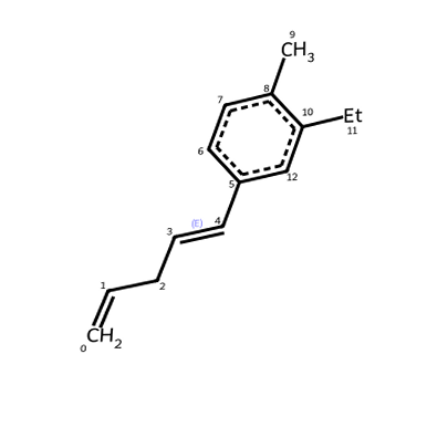 C=CC/C=C/c1ccc(C)c(CC)c1